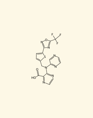 O=C(O)c1nccnc1N(Cc1ccc(-c2noc(C(F)(F)F)n2)s1)c1cnccn1